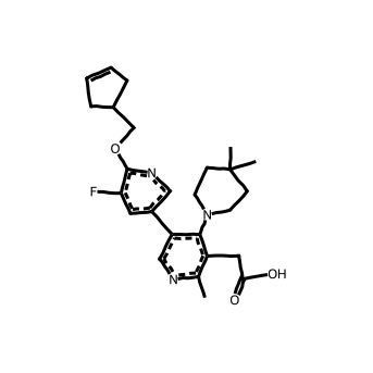 Cc1ncc(-c2cnc(OCC3CC=CC3)c(F)c2)c(N2CCC(C)(C)CC2)c1CC(=O)O